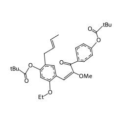 CC=CCc1cc(C=C(OC)C(=O)c2ccc(OC(=O)C(C)(C)C)cc2)c(OCC)cc1OC(=O)C(C)(C)C